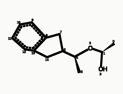 C[C@H](O)O[C@@H](C)C1Cc2ccccc2C1